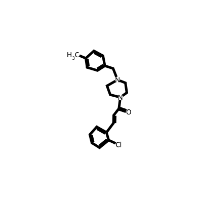 Cc1ccc(CN2CCN(C(=O)C=Cc3ccccc3Cl)CC2)cc1